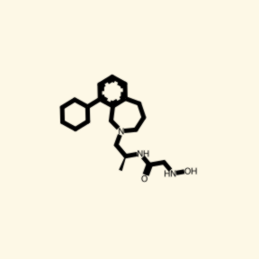 C[C@@H](CN1CCCc2cccc(C3CCCCC3)c2C1)NC(=O)CNO